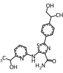 CC(CO)c1ccc(-c2nc(C(N)=O)c(Nc3cccc(C(O)C(F)(F)F)n3)s2)cc1